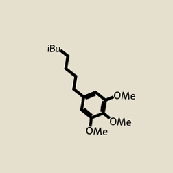 CCC(C)CCCCc1cc(OC)c(OC)c(OC)c1